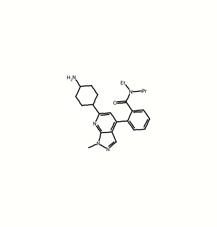 CCN(C(=O)c1ccccc1-c1cc(C2CCC(N)CC2)nc2c1cnn2C)C(C)C